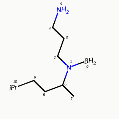 BN(CCCN)C(C)CCC(C)C